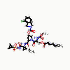 C=C[C@@H]1C[C@]1(NC(=O)C1C[C@@H](OC(=O)N2Cc3cccc(F)c3C2)CN1C(=O)[C@H](COC(=O)/C=C/C=C/C)NC(=O)OC(C)(C)C)C(=O)NS(=O)(=O)C1CC1